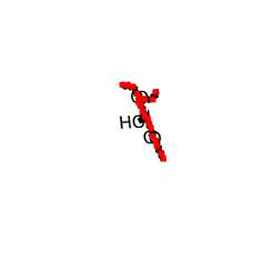 CCCC/C=C\CCOC(CCCCCCN(CCO)CCCCCCCC(=O)OCCCCCCCCC)OCC/C=C\CCCC